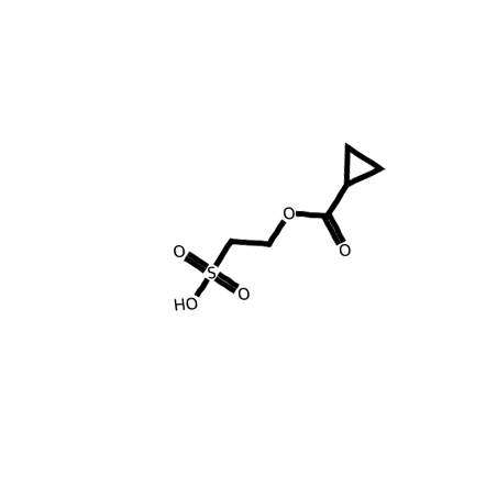 O=C(OCCS(=O)(=O)O)C1CC1